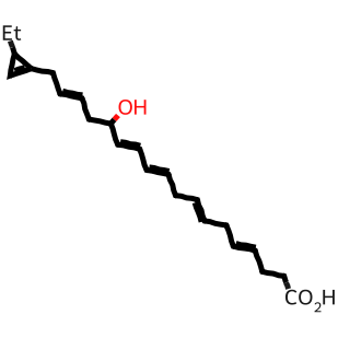 CCC1C=C1CC=CCC(O)C=CC=CCC=CCC=CCCC(=O)O